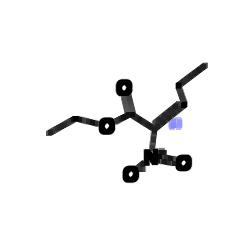 CC/C=C(\C(=O)OCC)[N+](=O)[O-]